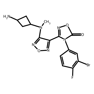 CN(c1nonc1-c1noc(=O)n1-c1ccc(F)c(Br)c1)C1CC(N)C1